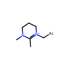 CC(=O)C[N+]1=C(C)N(C)CCC1